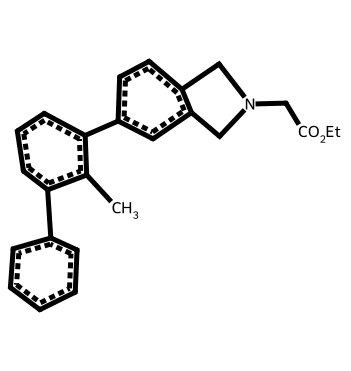 CCOC(=O)CN1Cc2ccc(-c3cccc(-c4ccccc4)c3C)cc2C1